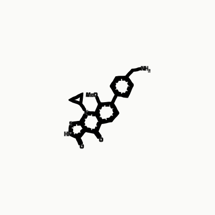 COc1c(-c2ccc(CN)cc2)ccc2c(=O)c3c(=O)[nH]sc3n(C3CC3)c12